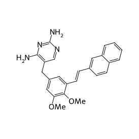 COc1cc(Cc2cnc(N)nc2N)cc(/C=C/c2ccc3ccccc3c2)c1OC